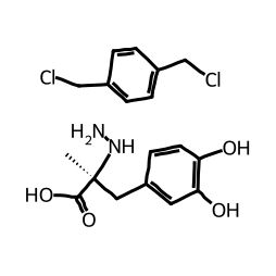 C[C@@](Cc1ccc(O)c(O)c1)(NN)C(=O)O.ClCc1ccc(CCl)cc1